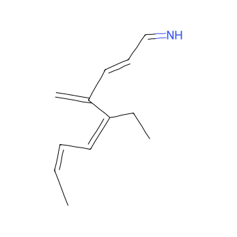 C=C(/C=C/C=N)/C(=C\C=C/C)CC